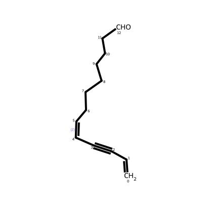 C=CC#C/C=C\CCCCCCC=O